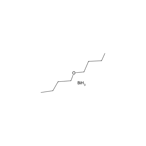 CCCCOCCCC.[BiH3]